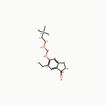 CCc1cc2c(cc1OCOCC[Si](C)(C)C)CCC2=O